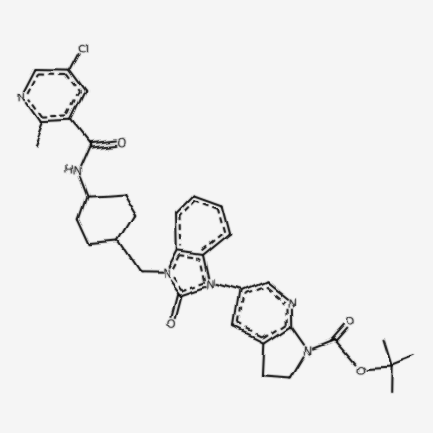 Cc1ncc(Cl)cc1C(=O)NC1CCC(Cn2c(=O)n(-c3cnc4c(c3)CCN4C(=O)OC(C)(C)C)c3ccccc32)CC1